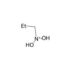 CCC[N+](O)O